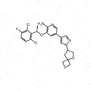 C[C@@H](Oc1cc(-c2cnn(C3COC4(COC4)C3)c2)cnc1N)c1c(Cl)ccc(F)c1Cl